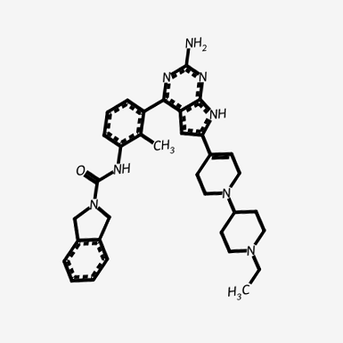 CCN1CCC(N2CC=C(c3cc4c(-c5cccc(NC(=O)N6Cc7ccccc7C6)c5C)nc(N)nc4[nH]3)CC2)CC1